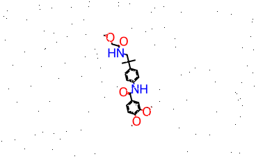 COCC(=O)NCC(C)(C)c1ccc(NC(=O)c2ccc(OC)c(OC)c2)cc1